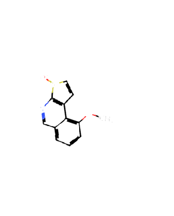 COc1cccc2cnc3c(cc[s+]3[O-])c12